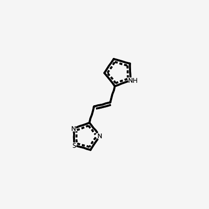 C(=Cc1ccc[nH]1)c1ncsn1